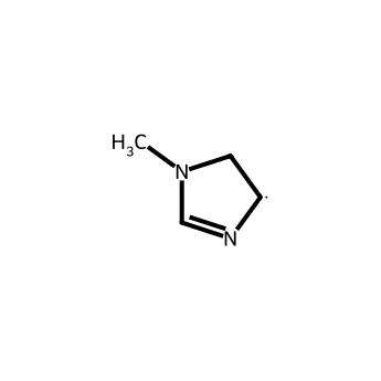 CN1C=N[CH]C1